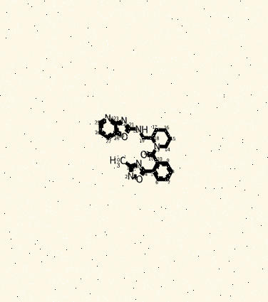 Cc1noc(-c2ccccc2C(=O)N2CCCCC2CNc2nc3ncccc3o2)n1